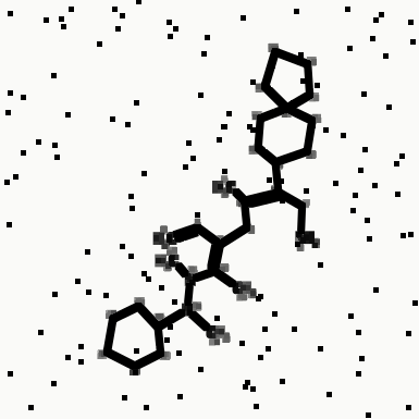 C=C/C(C/C(C)=C(\CN)C1CCC2(CCCC2)CC1)=C(/C)N(C)N(C)C1CCCCC1